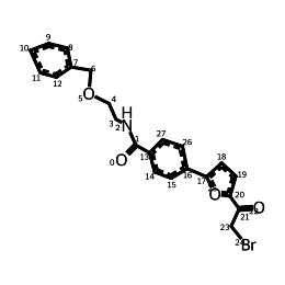 O=C(NCCOCc1ccccc1)c1ccc(-c2ccc(C(=O)CBr)o2)cc1